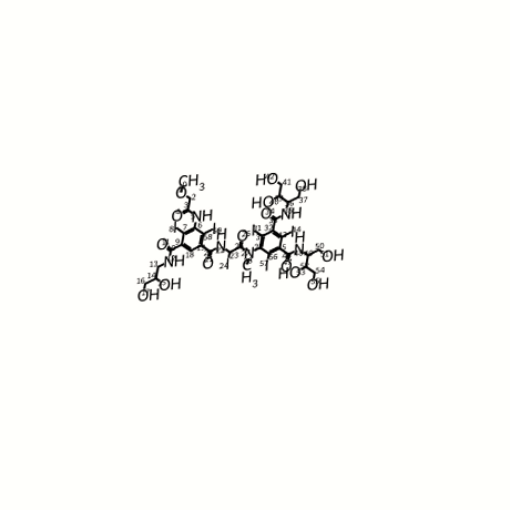 COCC(=O)Nc1c(I)c(C(=O)NCC(O)CO)cc(C(=O)NC(I)C(=O)N(C)c2c(I)c(C(=O)NC(CO)C(O)CO)c(I)c(C(=O)NC(CO)C(O)CO)c2I)c1I